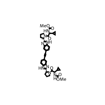 COC(=O)N[C@H](C(=O)N1CCC[C@H]1c1nc2cc(C#Cc3ccc4[nH]c([C@@H]5CCCN5C(=O)[C@@H](NC(=O)OC)C5CC5)nc4c3)ccc2[nH]1)C1CC1